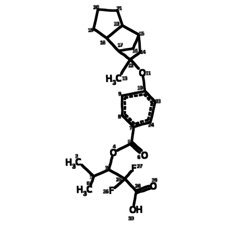 CC(C)C(OC(=O)c1ccc(OC2(C)CC3CC2C2CCCC32)cc1)C(F)(F)C(=O)O